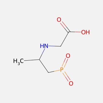 CC(CP(=O)=O)NCC(=O)O